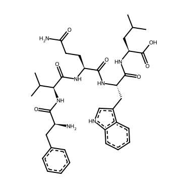 CC(C)C[C@H](NC(=O)[C@H](Cc1c[nH]c2ccccc12)NC(=O)[C@H](CCC(N)=O)NC(=O)[C@@H](NC(=O)[C@@H](N)Cc1ccccc1)C(C)C)C(=O)O